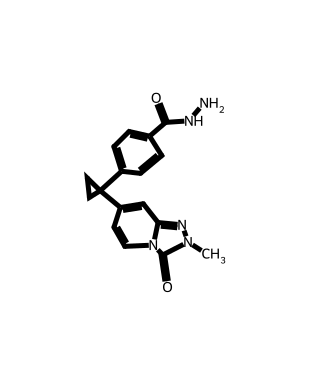 Cn1nc2cc(C3(c4ccc(C(=O)NN)cc4)CC3)ccn2c1=O